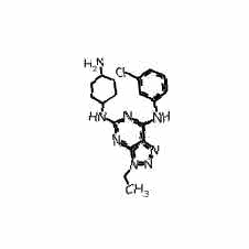 CCn1nnc2c(Nc3cccc(Cl)c3)nc(NC3CCC(N)CC3)nc21